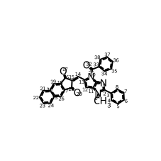 Cn1c(-c2ccccc2)nc2c1cc(C=C1C(=O)c3cc4ccccc4cc3C1=O)n2C(=O)c1ccccc1